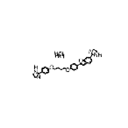 Cl.Cl.c1cc(C2=NCCN2)ccc1OCCCCOc1ccc(-c2cc3ccc(C4=NCCN4)cc3o2)cc1